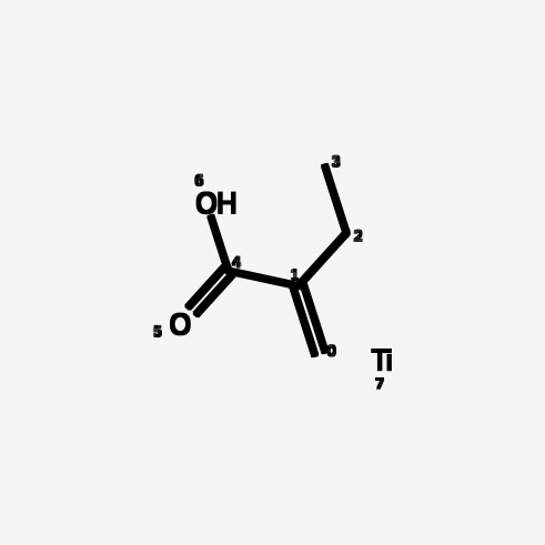 C=C(CC)C(=O)O.[Ti]